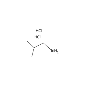 CC(C)[CH2][InH2].Cl.Cl